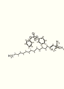 CCCCCCCCCCCCCCC=C[N+](C)(C)C.O=P([O-])(Oc1ccccc1)Oc1ccccc1